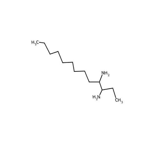 CCCCCCCCCC(N)C(N)CC